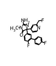 CN1C(=O)C(c2ccnc(CF)c2)(c2ccc(F)c(-c3ccc(F)cc3)c2)N=C1N